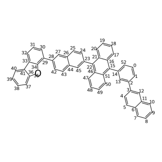 c1cc(-c2ccc3ccccc3c2)cc(-c2c3ccccc3c(-c3ccc4cc(-c5cccc6c5oc5ccccc56)ccc4c3)c3ccccc23)c1